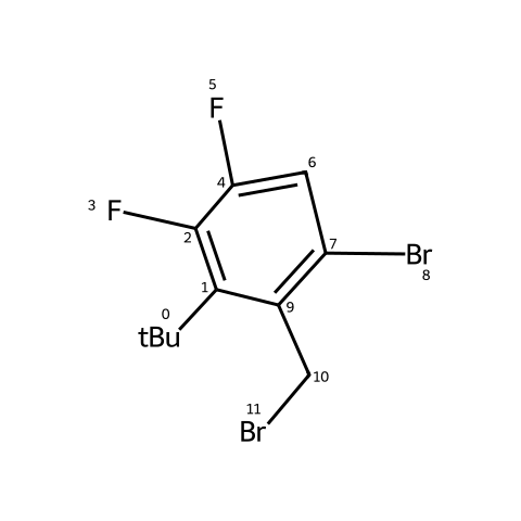 CC(C)(C)c1c(F)c(F)cc(Br)c1CBr